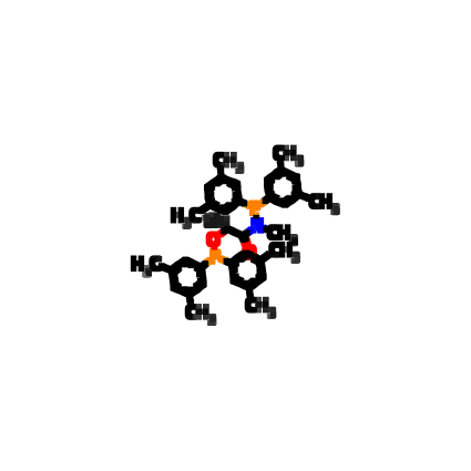 Cc1cc(C)cc(P(OC(C(=O)N(C)P(c2cc(C)cc(C)c2)c2cc(C)cc(C)c2)C(C)(C)C)c2cc(C)cc(C)c2)c1